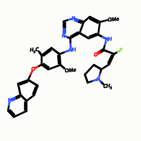 COc1cc2ncnc(Nc3cc(C)c(Oc4ccc5cccnc5c4)cc3OC)c2cc1NC(=O)/C(F)=C\C1CCCN1C